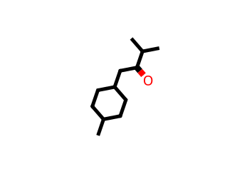 CC1CCC(CC(=O)C(C)C)CC1